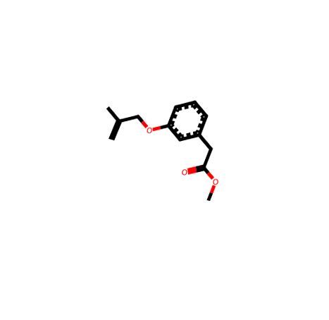 C=C(C)COc1cccc(CC(=O)OC)c1